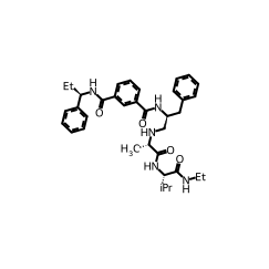 CCNC(=O)[C@@H](NC(=O)[C@H](C)NC[C@H](Cc1ccccc1)NC(=O)c1cccc(C(=O)N[C@H](CC)c2ccccc2)c1)C(C)C